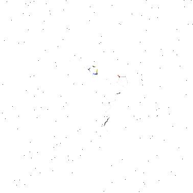 CC(C)=CCCC(C)(O)C/C=C/[C@H]1CCC(=O)[C@@H]1CCSc1nc(OC(=O)O)cs1